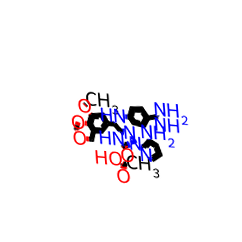 CC(=O)O.COc1cc(C(Nc2ccc(C(=N)N)cc2)c2nn(-c3ncccc3N)c(=O)[nH]2)cc2c1OCOC2